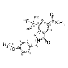 COc1ccc(CN2Cc3c(cc(C(C)=O)cc3C(F)(F)F)C2=O)cc1